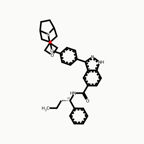 CCC[C@H](NC(=O)c1ccc2[nH]nc(-c3ccc(OC4CC5CCC(C4)N5C4COC4)cc3)c2c1)c1ccccc1